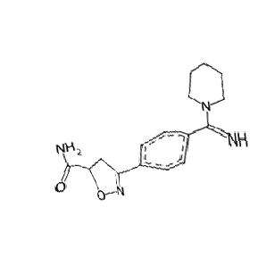 N=C(c1ccc(C2=NOC(C(N)=O)C2)cc1)N1CCCCC1